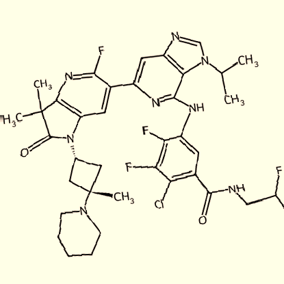 CC(C)n1cnc2cc(-c3cc4c(nc3F)C(C)(C)C(=O)N4[C@H]3C[C@@](C)(N4CCCCC4)C3)nc(Nc3cc(C(=O)NCC(F)F)c(Cl)c(F)c3F)c21